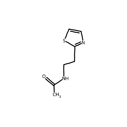 CC(=O)NCCc1nccs1